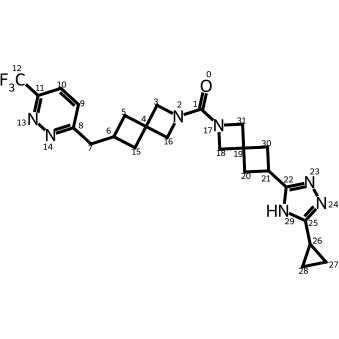 O=C(N1CC2(CC(Cc3ccc(C(F)(F)F)nn3)C2)C1)N1CC2(CC(c3nnc(C4CC4)[nH]3)C2)C1